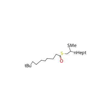 CCCCCCCC(CSC(=O)CCCCCCCC(C)(C)C)SC